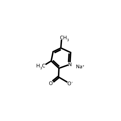 Cc1cnc(C(=O)[O-])c(C)c1.[Na+]